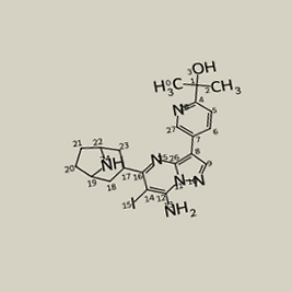 CC(C)(O)c1ccc(-c2cnn3c(N)c(I)c(C4CC5CCC(C4)N5)nc23)cn1